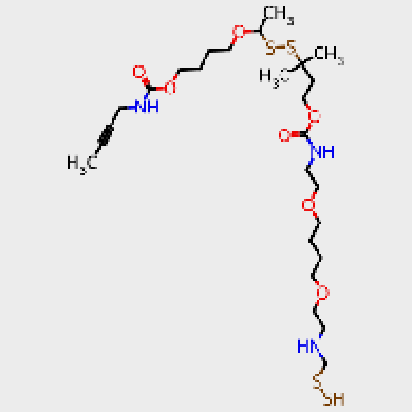 CC#CCNC(=O)OCCCCOC(C)SSC(C)(C)CCOC(=O)NCCOCCCCOCCNCSS